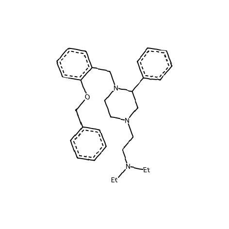 CCN(CC)CCN1CCN(Cc2ccccc2OCc2ccccc2)C(c2ccccc2)C1